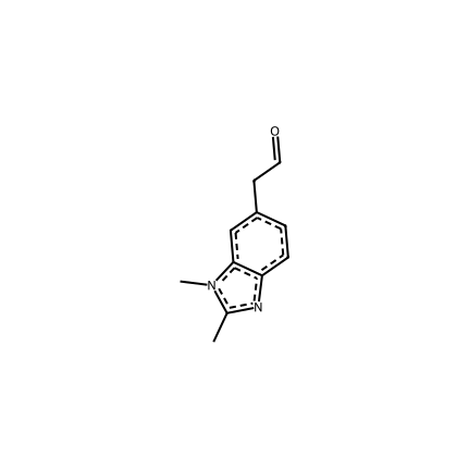 Cc1nc2ccc(CC=O)cc2n1C